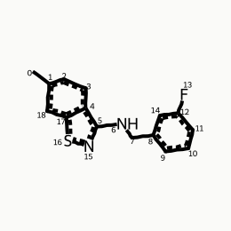 Cc1ccc2c(NCc3cccc(F)c3)nsc2c1